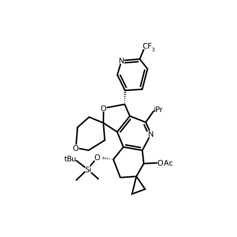 CC(=O)OC1c2nc(C(C)C)c3c(c2[C@@H](O[Si](C)(C)C(C)(C)C)CC12CC2)C1(CCOCC1)O[C@@H]3c1ccc(C(F)(F)F)nc1